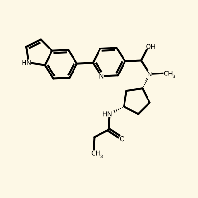 CCC(=O)N[C@H]1CC[C@@H](N(C)C(O)c2ccc(-c3ccc4[nH]ccc4c3)nc2)C1